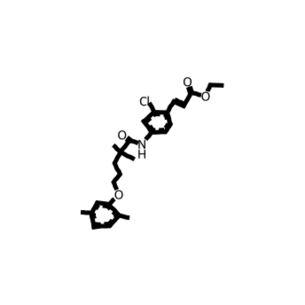 CCOC(=O)/C=C/c1ccc(NC(=O)C(C)(C)CCCOc2cc(C)ccc2C)cc1Cl